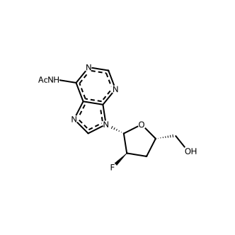 CC(=O)Nc1ncnc2c1ncn2[C@@H]1O[C@H](CO)C[C@H]1F